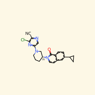 N#Cc1ncc(N2CCC[C@H](n3ccc4cc(C5CC5)ccc4c3=O)C2)nc1Cl